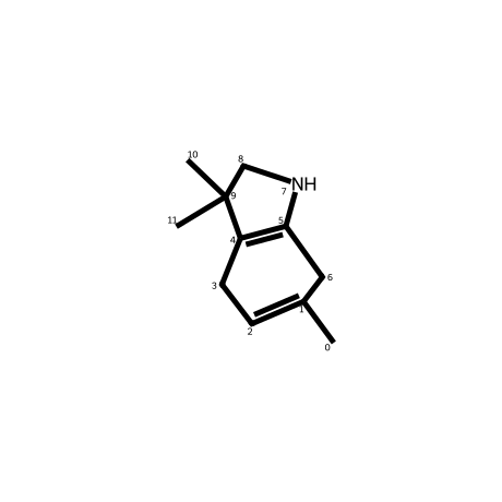 CC1=CCC2=C(C1)NCC2(C)C